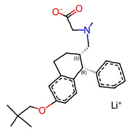 CN(CC(=O)[O-])C[C@H]1CCc2cc(OCC(C)(C)C)ccc2[C@H]1c1ccccc1.[Li+]